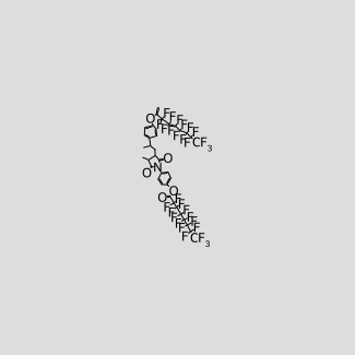 C=C(Oc1ccc(C(C)CC2C(=O)N(c3ccc(OC(=O)C(F)(F)C(F)(F)C(F)(F)C(F)(F)C(F)(F)C(F)(F)C(F)(F)F)cc3)C(=O)C2C)cc1)C(F)(F)C(F)(F)C(F)(F)C(F)(F)C(F)(F)C(F)(F)C(F)(F)F